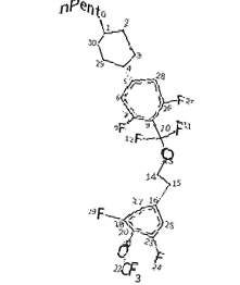 CCCCC[C@H]1CC[C@H](c2cc(F)c(C(F)(F)OCCc3cc(F)c(OC(F)(F)F)c(F)c3)c(F)c2)CC1